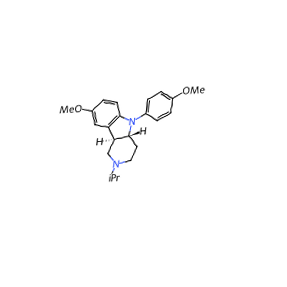 COc1ccc(N2c3ccc(OC)cc3[C@@H]3CN(C(C)C)CC[C@H]32)cc1